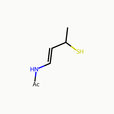 CC(=O)NC=CC(C)S